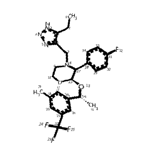 CCc1[nH]nnc1CN1CCO[C@H](O[C@H](C)c2cc(C)cc(C(F)(F)F)c2)C1c1ccc(F)cc1